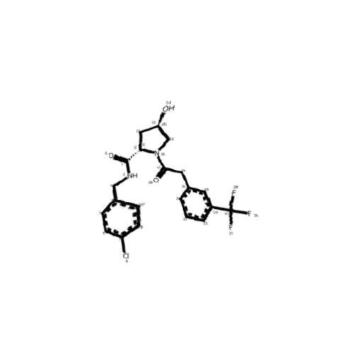 O=C(NCc1ccc(Cl)cc1)[C@@H]1C[C@@H](O)CN1C(=O)Cc1cccc(C(F)(F)F)c1